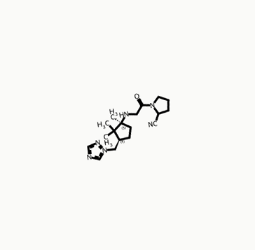 CC1(C)[C@H](Cn2cncn2)CC[C@]1(C)NCC(=O)N1CCCC1C#N